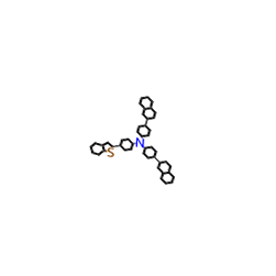 c1ccc2cc(-c3ccc(N(c4ccc(-c5ccc6ccccc6c5)cc4)c4ccc(-c5cc6ccccc6s5)cc4)cc3)ccc2c1